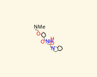 CNCCOc1cccc(C(=O)NCC(O)CN2CCc3ccccc3C2)c1